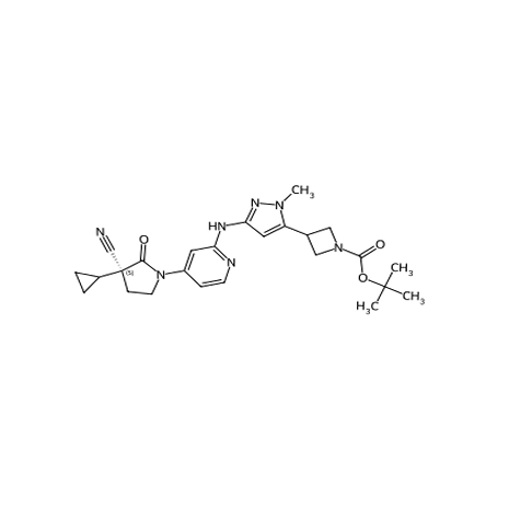 Cn1nc(Nc2cc(N3CC[C@@](C#N)(C4CC4)C3=O)ccn2)cc1C1CN(C(=O)OC(C)(C)C)C1